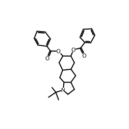 CC(C)(C)N1CCC2CC3CC(OC(=O)c4ccccc4)C(OC(=O)c4ccccc4)CC3CC21